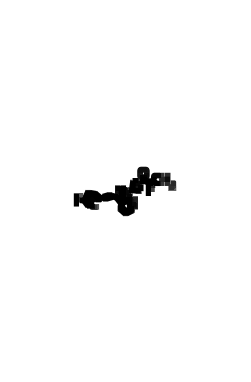 C=C(F)C(=O)N1CC(n2nc(C#Cc3ccc(F)cc3)c3cccnc32)C1